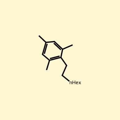 [CH2]CCCCCCCc1c(C)cc(C)cc1C